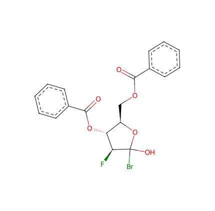 O=C(OC[C@H]1OC(O)(Br)[C@@H](F)[C@@H]1OC(=O)c1ccccc1)c1ccccc1